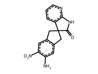 Nc1cc2c(cc1[N+](=O)[O-])CC1(C2)C(=O)Nc2ncccc21